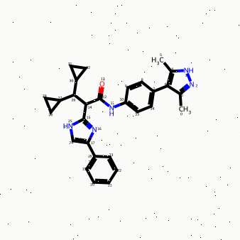 Cc1n[nH]c(C)c1-c1ccc(NC(=O)C(c2nc(-c3ccccc3)c[nH]2)C(C2CC2)C2CC2)cc1